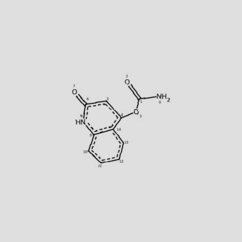 NC(=O)Oc1cc(=O)[nH]c2ccccc12